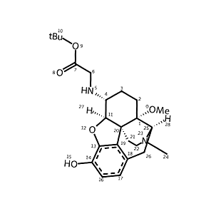 CO[C@@]12CC[C@@H](NCC(=O)OC(C)(C)C)[C@@H]3Oc4c(O)ccc5c4[C@@]31CCN(C)[C@@H]2C5